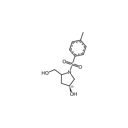 Cc1ccc(S(=O)(=O)N2C[C@@H](O)CC2CO)cc1